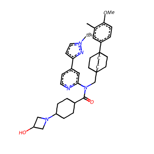 COc1ccc(C23CCC(CN(C(=O)C4CCC(N5CC(O)C5)CC4)c4cc(-c5ccn(C(C)(C)C)n5)ccn4)(CC2)CC3)cc1C